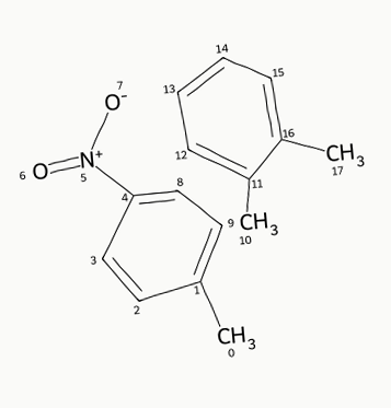 Cc1ccc([N+](=O)[O-])cc1.Cc1ccccc1C